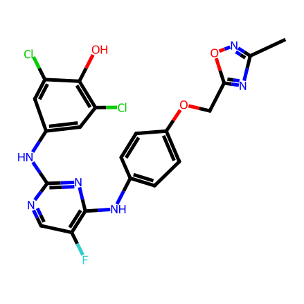 Cc1noc(COc2ccc(Nc3nc(Nc4cc(Cl)c(O)c(Cl)c4)ncc3F)cc2)n1